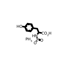 O=C(O)C(Cc1ccc(O)cc1)NP(=O)=O.P